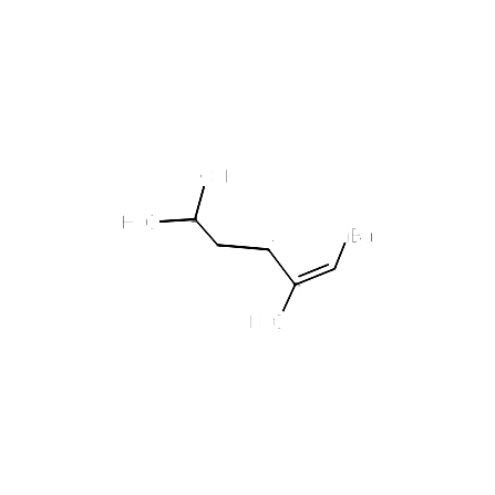 CCC(C)C=C(C)CCC(C)O